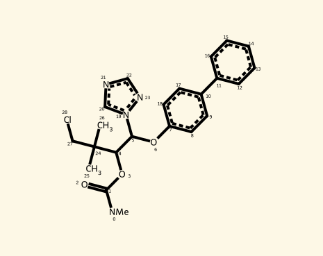 CNC(=O)OC(C(Oc1ccc(-c2ccccc2)cc1)n1cncn1)C(C)(C)CCl